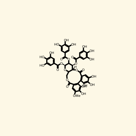 COc1cc2c(c(O)c1O)-c1c(cc(O)c(O)c1O)C(=O)O[C@@H]1C(COC2=O)O[C@@H](OC(=O)c2cc(O)c(O)c(O)c2)C(OC(=O)c2cc(O)c(O)c(O)c2)[C@H]1OC(=O)c1cc(O)c(O)c(O)c1